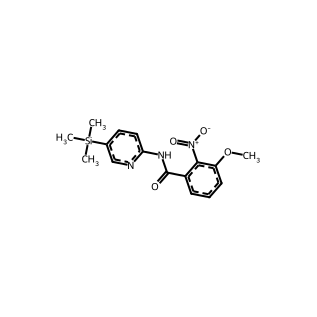 COc1cccc(C(=O)Nc2ccc([Si](C)(C)C)cn2)c1[N+](=O)[O-]